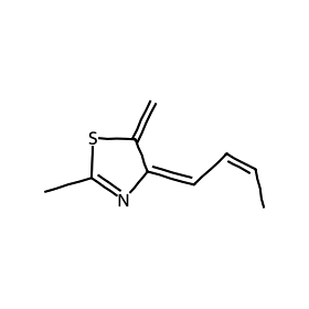 C=c1sc(C)n/c1=C/C=C\C